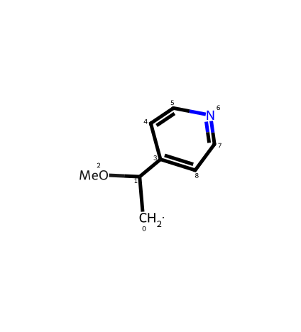 [CH2]C(OC)c1ccncc1